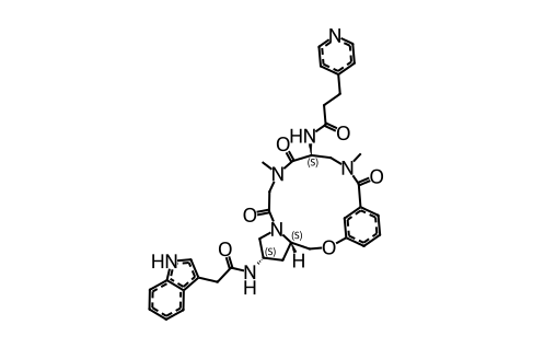 CN1C[C@H](NC(=O)CCc2ccncc2)C(=O)N(C)CC(=O)N2C[C@@H](NC(=O)Cc3c[nH]c4ccccc34)C[C@H]2COc2cccc(c2)C1=O